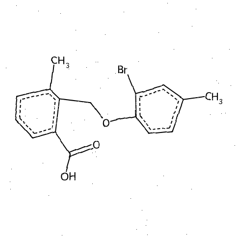 Cc1ccc(OCc2c(C)cccc2C(=O)O)c(Br)c1